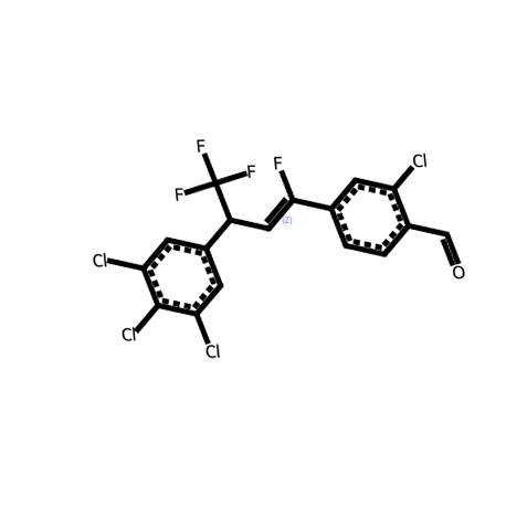 O=Cc1ccc(/C(F)=C/C(c2cc(Cl)c(Cl)c(Cl)c2)C(F)(F)F)cc1Cl